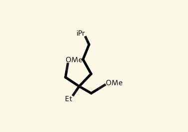 CCC(CCCC(C)C)(COC)COC